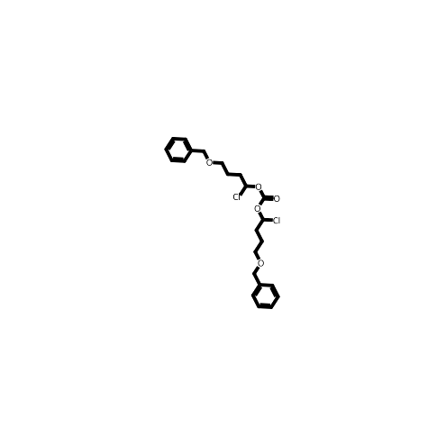 O=C(OC(Cl)CCCOCc1ccccc1)OC(Cl)CCCOCc1ccccc1